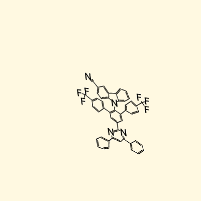 N#Cc1ccc2c(c1)c1ccccc1n2-c1c(-c2ccc(C(F)(F)F)cc2)cc(-c2nc(-c3ccccc3)cc(-c3ccccc3)n2)cc1-c1ccc(C(F)(F)F)cc1